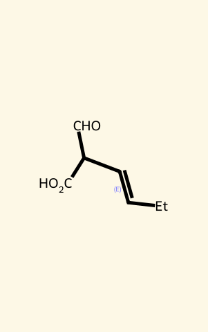 CC/C=C/C(C=O)C(=O)O